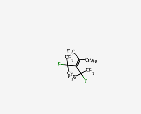 COC(=C(C(F)(C(F)(F)F)C(F)(F)F)C(F)(C(F)(F)F)C(F)(F)F)C(F)(F)F